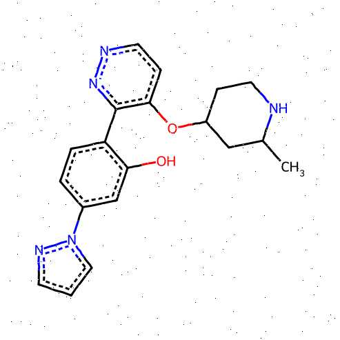 CC1CC(Oc2ccnnc2-c2ccc(-n3cccn3)cc2O)CCN1